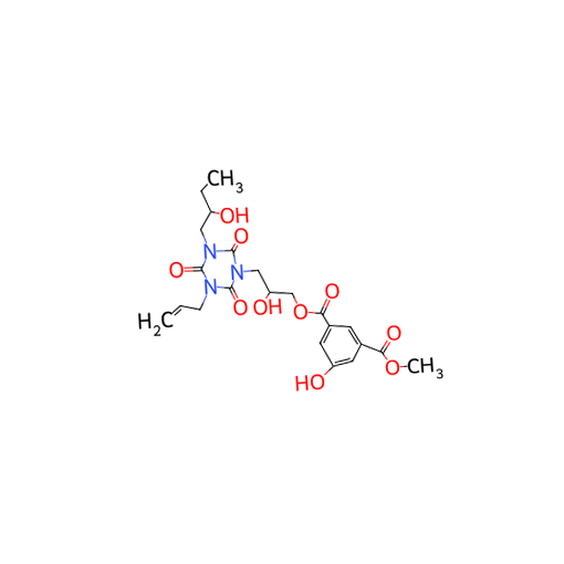 C=CCn1c(=O)n(CC(O)CC)c(=O)n(CC(O)COC(=O)c2cc(O)cc(C(=O)OC)c2)c1=O